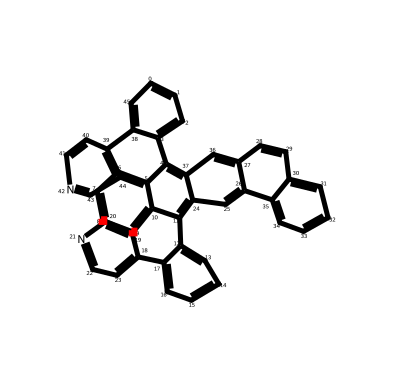 c1ccc(-c2c3ccccc3c(-c3ccccc3-c3ccncc3)c3cc4c(ccc5ccccc54)cc23)c(-c2ccncc2)c1